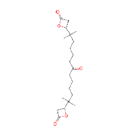 CC(C)(CCCCC(=O)CCCCC(C)(C)C1CC(=O)O1)C1CC(=O)O1